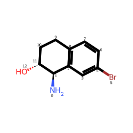 N[C@@H]1c2cc(Br)ccc2CC[C@H]1O